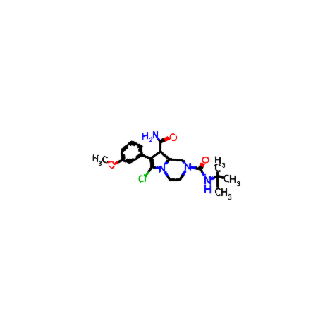 COc1cccc(C2=C(Cl)N3CCN(C(=O)NC(C)(C)C)CC3C2C(N)=O)c1